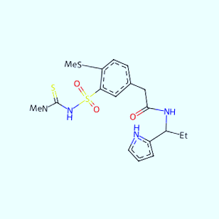 CCC(NC(=O)Cc1ccc(SC)c(S(=O)(=O)NC(=S)NC)c1)c1ccc[nH]1